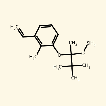 C=Cc1cccc(OC(C)(O[SiH3])C(C)(C)C)c1C